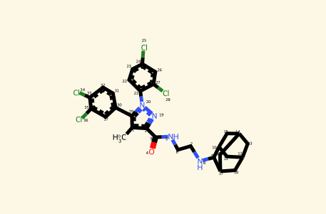 Cc1c(C(=O)NCCNC2C3CC4CC(C3)CC2C4)nn(-c2ccc(Cl)cc2Cl)c1-c1ccc(Cl)c(Cl)c1